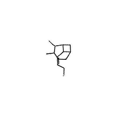 CC1CCC2CC(C1C)C2/C=C\CF